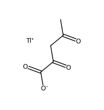 CC(=O)CC(=O)C(=O)[O-].[Tl+]